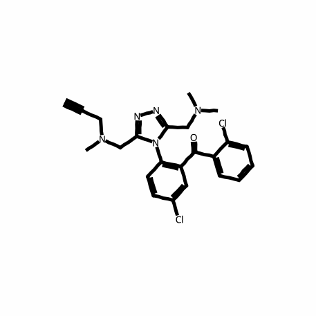 C#CCN(C)Cc1nnc(CN(C)C)n1-c1ccc(Cl)cc1C(=O)c1ccccc1Cl